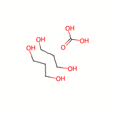 O=C(O)O.OCCCO.OCCCO